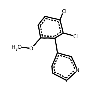 COc1ccc(Cl)c(Cl)c1-c1cc[c]nc1